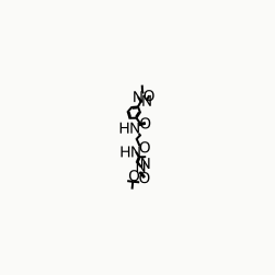 Cc1nc(-c2cccc(C(=O)NCCC(=O)Nc3cnn(C(=O)OC(C)(C)C)c3)c2)no1